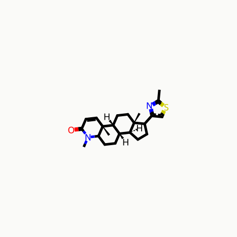 Cc1nc(C2CC[C@H]3[C@@H]4CCC5N(C)C(=O)C=C[C@]5(C)[C@@H]4CC[C@]23C)cs1